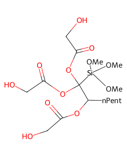 CCCCCC(OC(=O)CO)C(OC(=O)CO)(OC(=O)CO)[Si](OC)(OC)OC